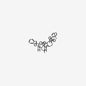 Cc1occc1S(=O)(=O)N1CCC[C@H](NC(=O)C(CC(C)C)NC(=O)c2cc3ccccc3o2)C(=O)C1